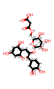 O=C(O)CC(=O)OC[C@H]1O[C@@H](Oc2cc3c(O)cc(O)cc3[o+]c2-c2ccc(O)c(O)c2)[C@H](O)[C@@H](O)[C@@H]1O